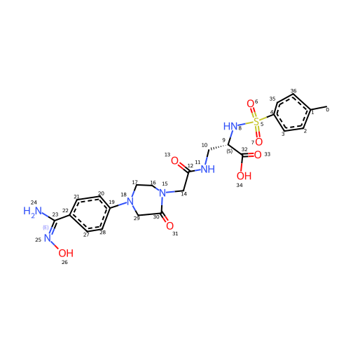 Cc1ccc(S(=O)(=O)N[C@@H](CNC(=O)CN2CCN(c3ccc(/C(N)=N\O)cc3)CC2=O)C(=O)O)cc1